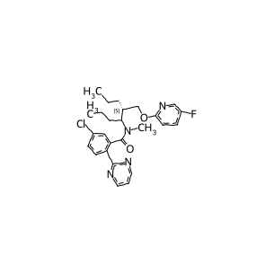 CCCC([C@H](CCC)COc1ccc(F)cn1)N(C)C(=O)c1cc(Cl)ccc1-c1ncccn1